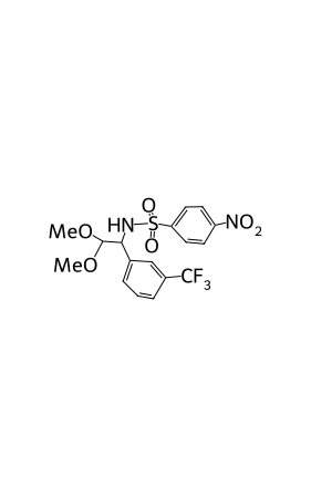 COC(OC)C(NS(=O)(=O)c1ccc([N+](=O)[O-])cc1)c1cccc(C(F)(F)F)c1